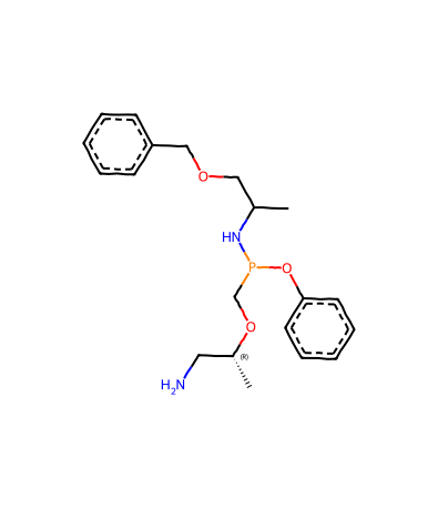 CC(COCc1ccccc1)NP(CO[C@H](C)CN)Oc1ccccc1